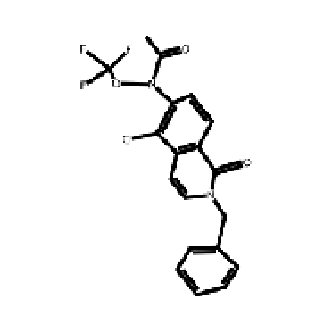 CC(=O)N(OC(F)(F)F)c1ccc2c(=O)n(Cc3ccccc3)ccc2c1Cl